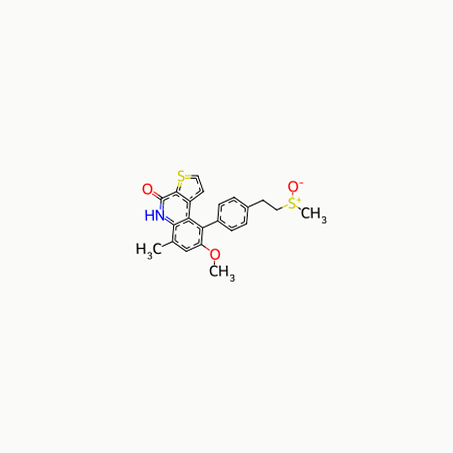 COc1cc(C)c2[nH]c(=O)c3sccc3c2c1-c1ccc(CC[S+](C)[O-])cc1